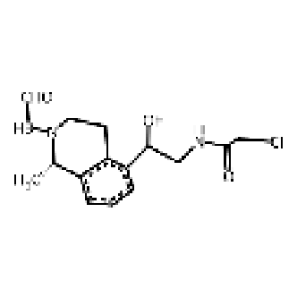 C[C@H]1c2cccc(C(O)CNC(=O)CCl)c2CCN1BC=O